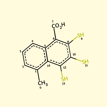 Cc1cccc2c(C(=O)O)c(S)c(S)c(S)c12